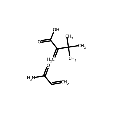 C=C(C(=O)O)C(C)(C)C.C=CC(N)=O